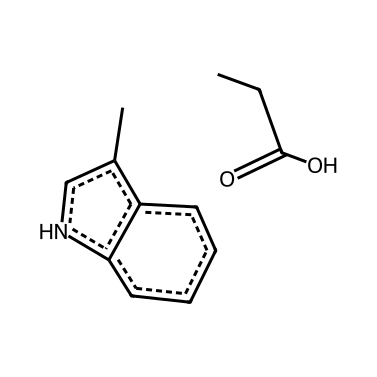 CCC(=O)O.Cc1c[nH]c2ccccc12